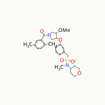 COC1CN(C(=O)c2cc(C)ccc2C)CC1Oc1cccc(CS(=O)(=O)N(C)C2CCOCC2F)c1